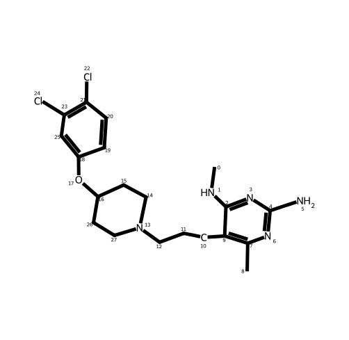 CNc1nc(N)nc(C)c1CCCN1CCC(Oc2ccc(Cl)c(Cl)c2)CC1